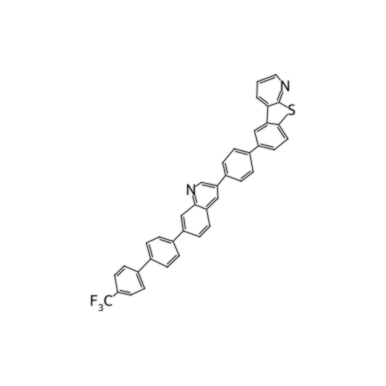 FC(F)(F)c1ccc(-c2ccc(-c3ccc4cc(-c5ccc(-c6ccc7sc8ncccc8c7c6)cc5)cnc4c3)cc2)cc1